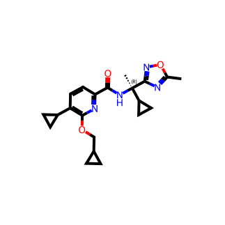 Cc1nc([C@](C)(NC(=O)c2ccc(C3CC3)c(OCC3CC3)n2)C2CC2)no1